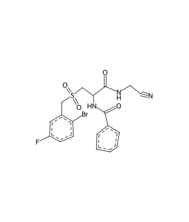 N#CCNC(=O)C(CS(=O)(=O)Cc1cc(F)ccc1Br)NC(=O)c1ccccc1